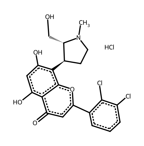 CN1CC[C@@H](c2c(O)cc(O)c3c(=O)cc(-c4cccc(Cl)c4Cl)oc23)[C@@H]1CO.Cl